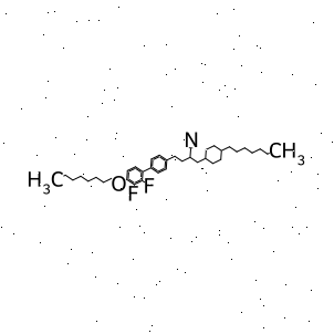 CCCCCCCCOc1ccc(-c2ccc(CCC(C#N)CC3CCC(CCCCCCC)CC3)cc2)c(F)c1F